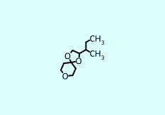 CCC(C)C1COC2(CCOCC2)O1